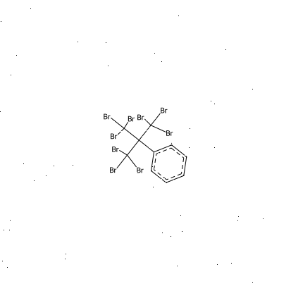 BrC(Br)(Br)C(c1[c]cccc1)(C(Br)(Br)Br)C(Br)(Br)Br